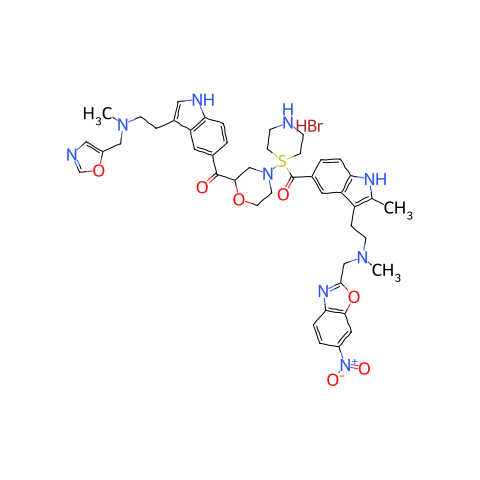 Br.Cc1[nH]c2ccc(C(=O)S3(N4CCOC(C(=O)c5ccc6[nH]cc(CCN(C)Cc7cnco7)c6c5)C4)CCNCC3)cc2c1CCN(C)Cc1nc2ccc([N+](=O)[O-])cc2o1